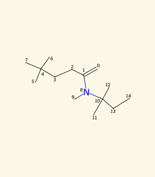 C=C(CCC(C)(C)C)N(C)C(C)(C)CC